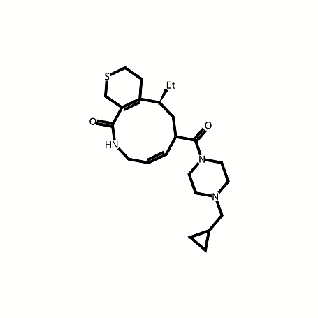 CC[C@H]1CC(C(=O)N2CCN(CC3CC3)CC2)/C=C\CNC(=O)C2=C1CCSC2